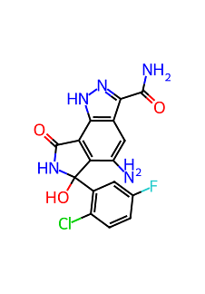 NC(=O)c1n[nH]c2c3c(c(N)cc12)C(O)(c1cc(F)ccc1Cl)NC3=O